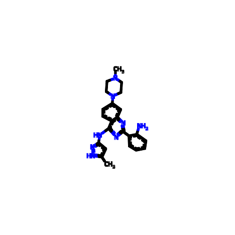 Cc1cc(Nc2nc(-c3ccccc3N)nc3cc(N4CCN(C)CC4)ccc23)n[nH]1